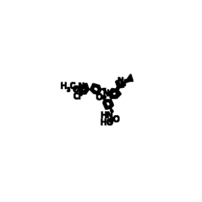 COc1ncc([C@H]2CC[C@H](CN(c3cccc(-c4cnn(C5CC5)c4)c3)C(=O)[C@H]3CC[C@H](CNC(=O)O)CC3)CC2)cc1Cl